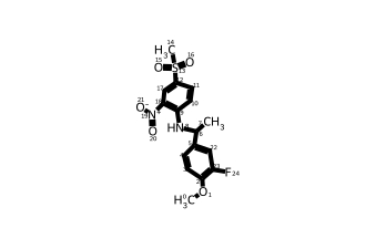 COc1ccc(C(C)Nc2ccc(S(C)(=O)=O)cc2[N+](=O)[O-])cc1F